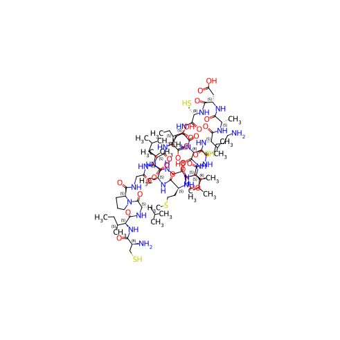 CC[C@H](C)[C@H](NC(=O)[C@H](CS)NC(=O)[C@H](CC(=O)O)NC(=O)[C@H](C)NC(=O)[C@@H](NC(=O)[C@H](CCCCN)NC(=O)[C@@H](NC(=O)CNC(=O)[C@@H](NC(=O)CNC(=O)[C@@H]1CCCN1C(=O)[C@H](CC(C)C)NC(=O)[C@@H](NC(=O)[C@@H](N)CS)[C@@H](C)CC)C(C)C)[C@@H](C)O)C(C)C)C(=O)N[C@@H](CS)C(=O)N[C@@H](CC(C)C)C(=O)N[C@@H](CCSC)C(=O)N[C@@H](C)C(=O)N[C@@H](CC(C)C)C(=O)N[C@@H](CC(=O)O)C(=O)O